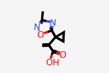 C=C(C(=O)O)C1(c2nc(C)no2)CC1